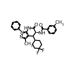 Cc1cccc(C(=O)N[C@@H]2C(=O)Nc3c(c(C)nn3-c3ccccc3)C2C2CCC(F)(F)CC2)c1